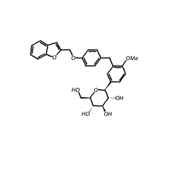 COc1ccc([C@@H]2O[C@H](CO)[C@@H](O)[C@H](O)[C@H]2O)cc1Cc1ccc(OCc2cc3ccccc3o2)cc1